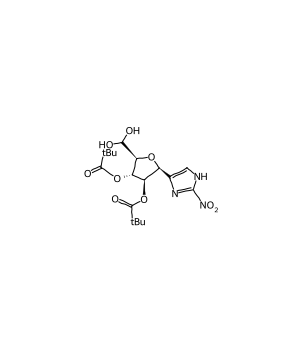 CC(C)(C)C(=O)O[C@H]1[C@H](OC(=O)C(C)(C)C)[C@H](c2c[nH]c([N+](=O)[O-])n2)O[C@@H]1C(O)O